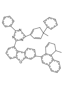 CC1CC=Cc2c(-c3ccc4c(c3)oc3cccc(-c5nc(C6=CCC(C)(c7ccccc7)C=C6)nc(-c6ccccc6)n5)c34)cc3ccccc3c21